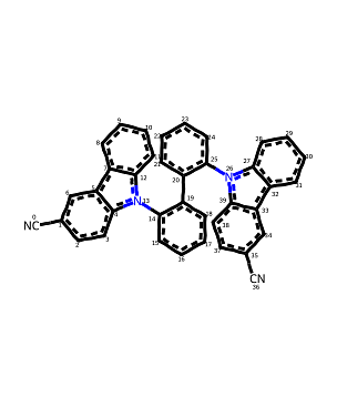 N#Cc1ccc2c(c1)c1ccccc1n2-c1ccccc1-c1ccccc1-n1c2ccccc2c2cc(C#N)ccc21